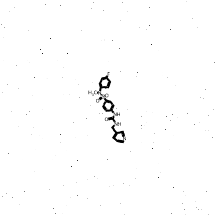 CN(c1ccc(F)cc1)S(=O)(=O)c1ccc(NC(=O)NCc2cccnc2)cc1